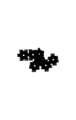 O=P1(c2ccccc2)N(c2cccc(-c3ccccc3)c2)c2ccccc2N1c1cccc(-c2ccccc2)c1